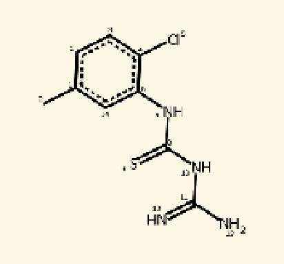 Cc1ccc(Cl)c(NC(=S)NC(=N)N)c1